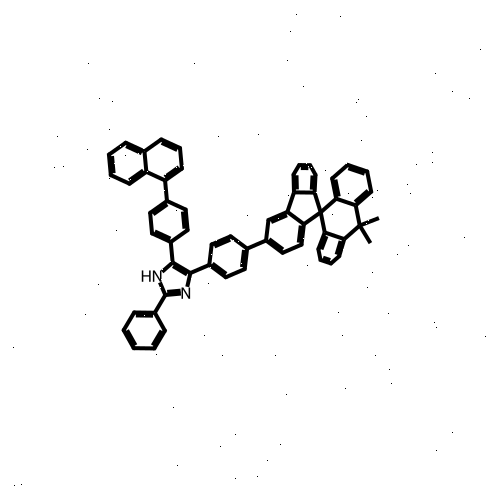 CC1(C)c2ccccc2C2(c3ccccc3-c3cc(-c4ccc(-c5nc(-c6ccccc6)[nH]c5-c5ccc(-c6cccc7ccccc67)cc5)cc4)ccc32)c2ccccc21